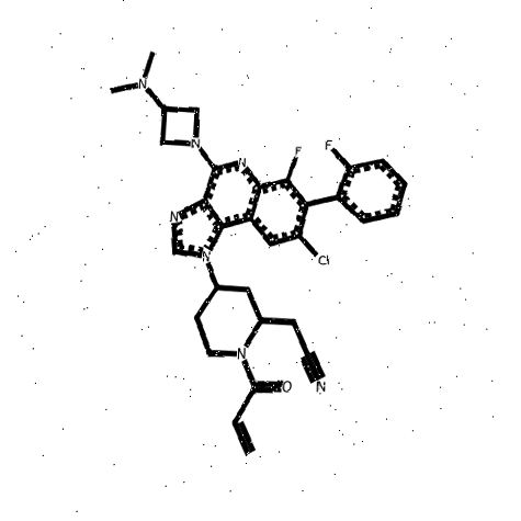 C=CC(=O)N1CCC(n2cnc3c(N4CC(N(C)C)C4)nc4c(F)c(-c5ccccc5F)c(Cl)cc4c32)CC1CC#N